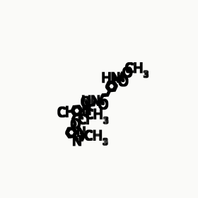 COCC(=O)Nc1ccc(C=CC(=O)NCC(=O)N(C)c2ccc(Cl)c(COc3cccc4ncc(C)nc34)c2Cl)cc1